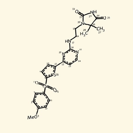 COc1ccc(S(=O)(=O)c2ccc(-c3ccnc(NCCN4C(=O)NC(=O)C4(C)C)n3)s2)cc1